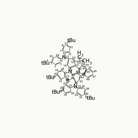 CC(C)(C)c1ccc(N(c2ccc(C(C)(C)C)cc2)c2cc(N3c4ccc(C(C)(C)C)cc4B4c5cc(C(C)(C)C)ccc5N(c5ccc(C(C)(C)C)cc5)c5cc(-c6ccccc6)cc3c54)c3c(c2)C(C)(C)c2ccccc2-3)cc1